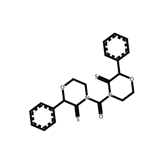 O=C(N1CCOC(c2ccccc2)C1=S)N1CCOC(c2ccccc2)C1=S